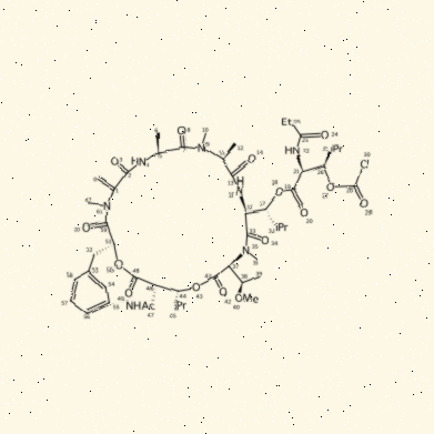 C=C1C(=O)N[C@@H](C)C(=O)N(C)[C@@H](C)C(=O)N[C@@H]([C@H](OC(=O)[C@@H](NC(=O)CC)[C@H](OC(=O)Cl)C(C)C)C(C)C)C(=O)N(C)[C@@H]([C@@H](C)OC)C(=O)O[C@H](C(C)C)[C@H](NC(C)=O)C(=O)O[C@H](Cc2ccccc2)C(=O)N1C